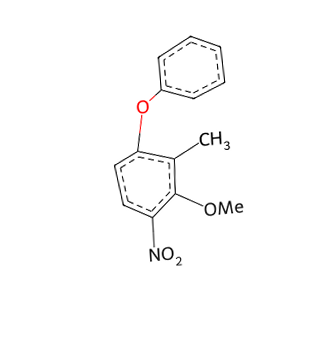 COc1c([N+](=O)[O-])ccc(Oc2ccccc2)c1C